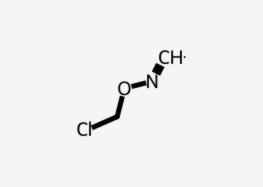 [CH]=NOCCl